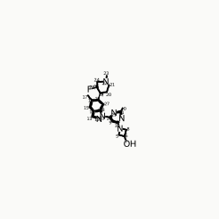 Cc1nc(N2CC(O)C2)cc(-n2ncc3cc(C)c([C@@H]4CCN(C)C[C@@H]4F)cc32)n1